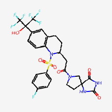 O=C1NC(=O)C2(CCN(C(=O)CC3CCc4cc(C(O)(C(F)(F)F)C(F)(F)F)ccc4N3S(=O)(=O)c3ccc(F)cc3)C2)N1